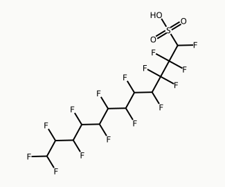 O=S(=O)(O)C(F)C(F)(F)C(F)(F)C(F)C(F)C(F)C(F)C(F)C(F)C(F)C(F)C(F)F